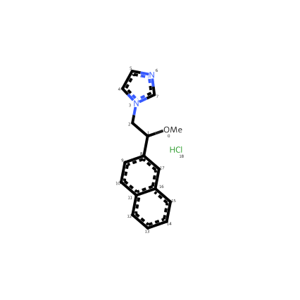 COC(Cn1ccnc1)c1ccc2ccccc2c1.Cl